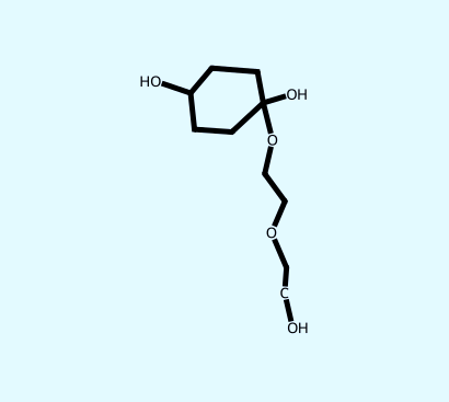 OCCOCCOC1(O)CCC(O)CC1